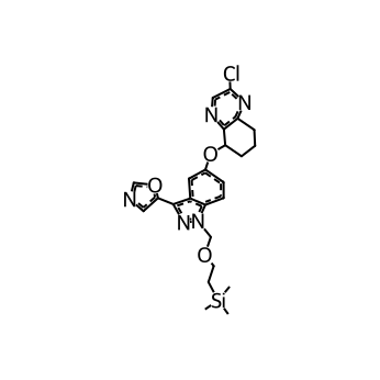 C[Si](C)(C)CCOCn1nc(-c2cnco2)c2cc(OC3CCCc4nc(Cl)cnc43)ccc21